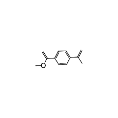 C=C(C)c1ccc(C(=C)OC)cc1